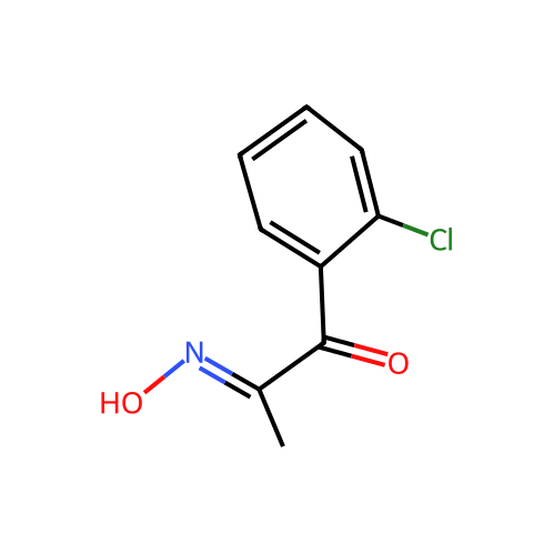 CC(=NO)C(=O)c1ccccc1Cl